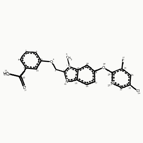 Cn1c(COc2cccc(C(=O)O)c2)nc2ccc(Oc3ncc(Cl)cc3F)cc21